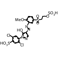 COc1ccc(S(=O)(=O)CCOS(=O)(=O)O)cc1/N=N/c1cnn(-c2cc(Cl)c(S(=O)(=O)O)cc2Cl)c1O